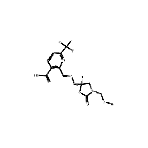 COCN1CC(C)(COCc2nc(C(F)(F)F)ccc2C(=O)O)OC1=O